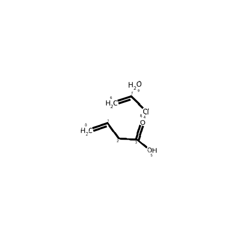 C=CCC(=O)O.C=CCl.O